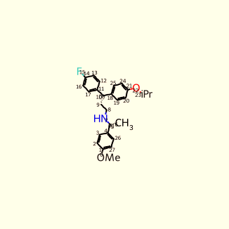 COc1ccc([C@@H](C)NCC[C@H](c2ccc(F)cc2)c2ccc(OC(C)C)cc2)cc1